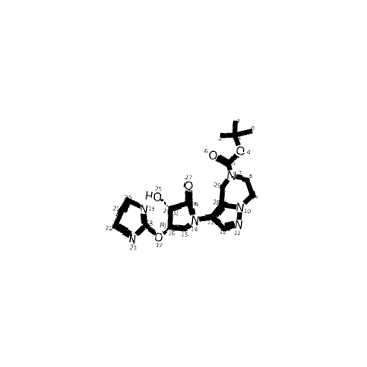 CC(C)(C)OC(=O)N1CCn2ncc(N3C[C@@H](Oc4ncccn4)[C@H](O)C3=O)c2C1